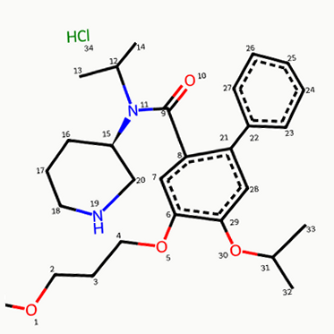 COCCCOc1cc(C(=O)N(C(C)C)[C@@H]2CCCNC2)c(-c2ccccc2)cc1OC(C)C.Cl